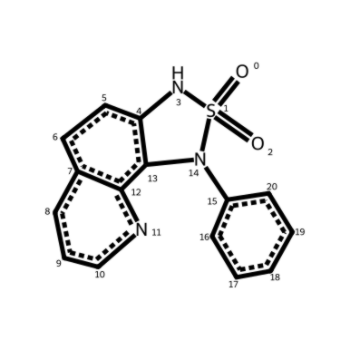 O=S1(=O)Nc2ccc3cccnc3c2N1c1ccccc1